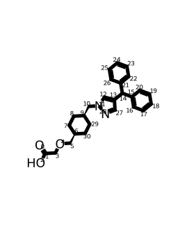 O=C(O)COC[C@H]1CC[C@@H](Cn2cc(C(c3ccccc3)c3ccccc3)cn2)CC1